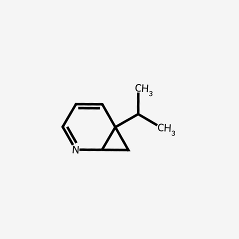 CC(C)C12C=CC=NC1C2